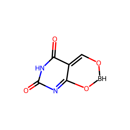 O=C1N=C2OBOC=C2C(=O)N1